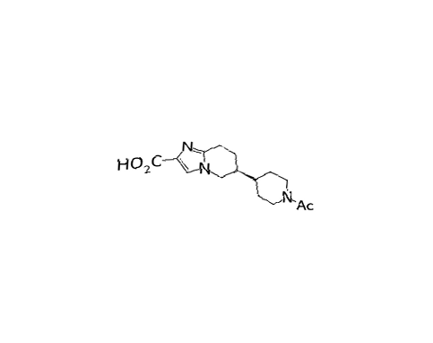 CC(=O)N1CCC([C@@H]2CCc3nc(C(=O)O)cn3C2)CC1